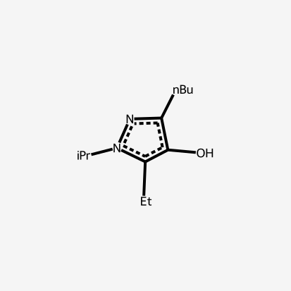 CCCCc1nn(C(C)C)c(CC)c1O